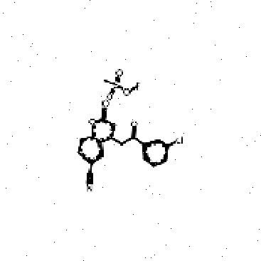 CS(=O)(=O)OF.N#Cc1ccc2oc(=O)cc(CC(=O)c3cccc(Cl)c3)c2c1